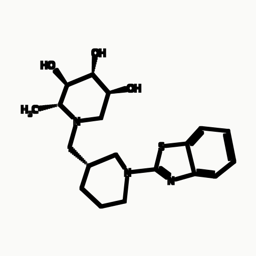 C[C@@H]1[C@@H](O)[C@H](O)[C@@H](O)CN1C[C@H]1CCCN(c2nc3ccccc3s2)C1